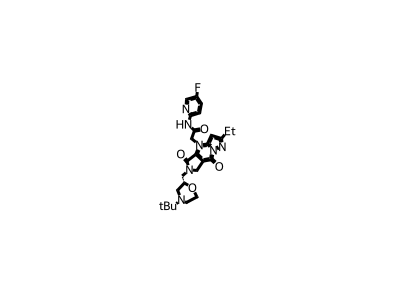 CCc1cc2n(CC(=O)Nc3ccc(F)cn3)c3c(c(=O)n2n1)CN(C[C@H]1CN(C(C)(C)C)CCO1)C3=O